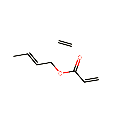 C=C.C=CC(=O)OCC=CC